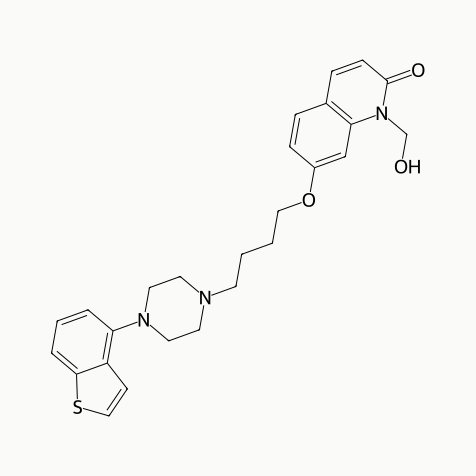 O=c1ccc2ccc(OCCCCN3CCN(c4cccc5sccc45)CC3)cc2n1CO